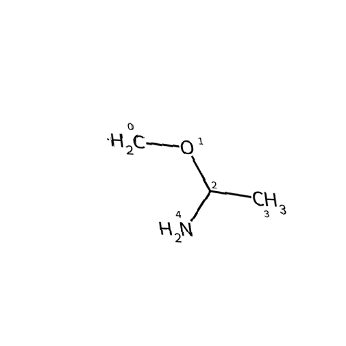 [CH2]OC(C)N